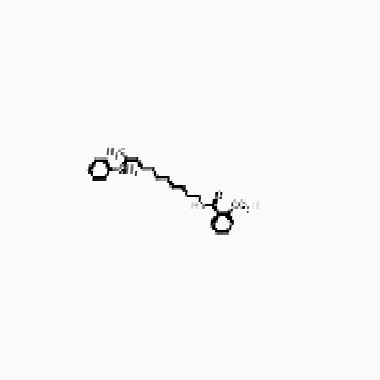 C[C@@H](CCCCCCCCCNC(=O)c1ccccc1C(=O)O)[SiH2]c1ccccc1